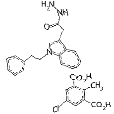 Cc1c(C(=O)O)cc(Cl)cc1C(=O)O.NNC(=O)Cc1cn(CCc2ccccc2)c2ccccc12